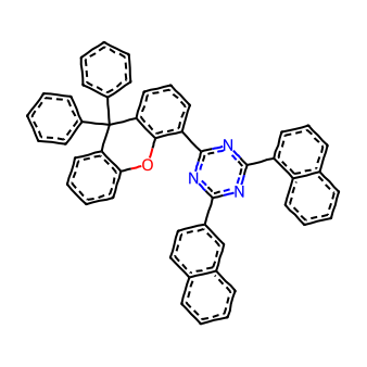 c1ccc(C2(c3ccccc3)c3ccccc3Oc3c(-c4nc(-c5ccc6ccccc6c5)nc(-c5cccc6ccccc56)n4)cccc32)cc1